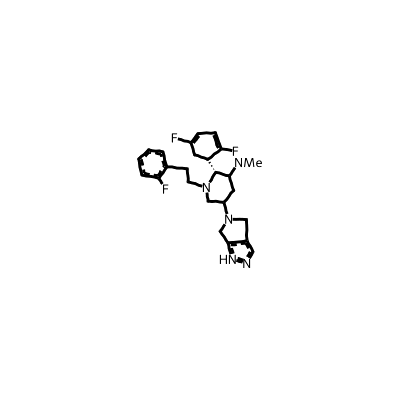 CNC1CC(N2Cc3cn[nH]c3C2)CN(CCc2ccccc2F)[C@@H]1C1CC(F)=CC=C1F